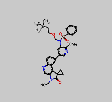 COc1ncc(-c2ccc3ncc4c(c3c2)C2(CC2)C(=O)N4CC#N)cc1N(COCC[Si](C)(C)C)S(=O)(=O)c1ccccc1